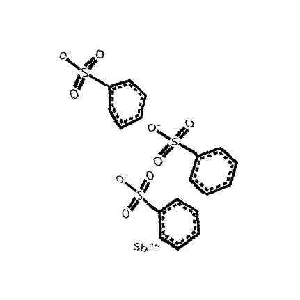 O=S(=O)([O-])c1ccccc1.O=S(=O)([O-])c1ccccc1.O=S(=O)([O-])c1ccccc1.[Sb+3]